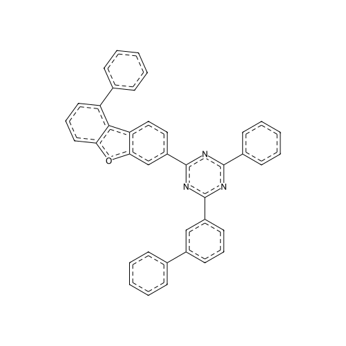 c1ccc(-c2cccc(-c3nc(-c4ccccc4)nc(-c4ccc5c(c4)oc4cccc(-c6ccccc6)c45)n3)c2)cc1